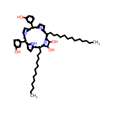 CCCCCCCCCCCCCc1c2nc(c(CCCCCCCCCCCCC)c3ccc([nH]3)c(-c3cccc(O)c3)c3nc(c(-c4cccc(O)c4)c4ccc1[nH]4)C=C3)C(O)C2O